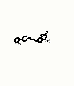 CC1CC(=O)Nc2cc(OCCCN3CCC(c4ccccc4Cl)CC3)ccc21